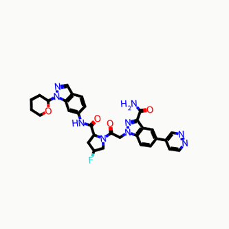 NC(=O)c1nn(CC(=O)N2CC(F)CC2C(=O)Nc2ccc3cnn(C4CCCCO4)c3c2)c2ccc(-c3ccnnc3)cc12